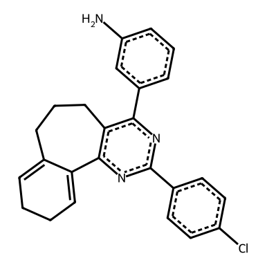 Nc1cccc(-c2nc(-c3ccc(Cl)cc3)nc3c2CCCC2=CCCC=C23)c1